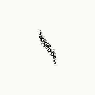 C=CCCCOc1ccc(-c2ccc(OC(=O)c3ccc(-c4ccc(OCCCC)cc4)c(F)c3F)cc2)c(F)c1